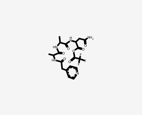 CC(NC(=O)Cc1ccncc1)C(=O)NC(C)C(=O)NC(CC(N)=O)C(=O)OC(=O)C(F)(F)F